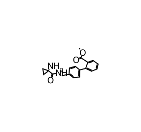 COC(=O)c1ccccc1-c1ccc(CNC(=O)C2(N)CC2)cc1